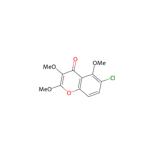 COc1oc2ccc(Cl)c(OC)c2c(=O)c1OC